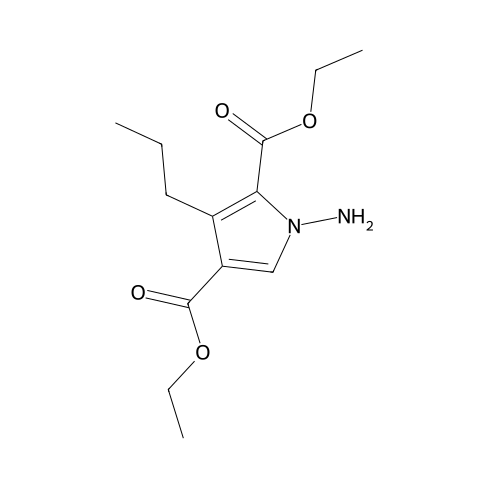 CCCc1c(C(=O)OCC)cn(N)c1C(=O)OCC